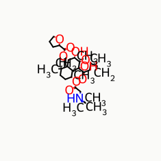 C=C[C@@]1(C)CC(=O)[C@]2(O)[C@@]3(C)[C@@H](OC(=O)CNC(C)(C)C)CCC(C)(C)[C@@H]3[C@H](OC(=O)C3CCCO3)[C@H](O)[C@@]2(C)O1